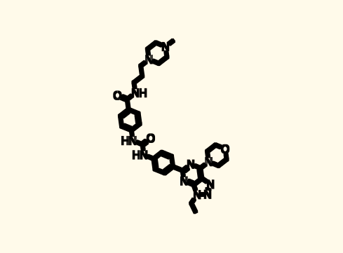 CCn1nnc2c(N3CCOCC3)nc(-c3ccc(NC(=O)Nc4ccc(C(=O)NCCCN5CCN(C)CC5)cc4)cc3)nc21